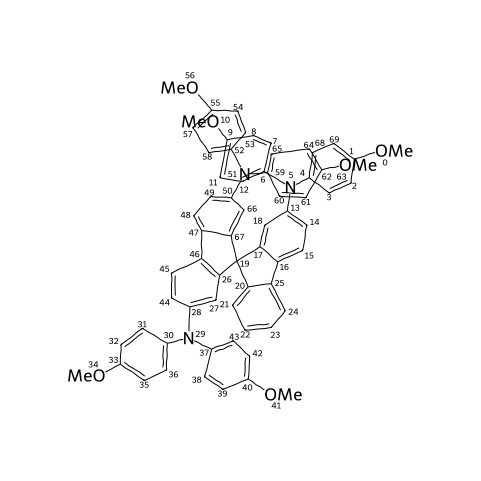 COc1ccc(N(c2ccc(OC)cc2)c2ccc3c(c2)C2(c4ccccc4-3)c3cc(N(c4ccc(OC)cc4)c4ccc(OC)cc4)ccc3-c3ccc(N(c4ccc(OC)cc4)c4ccc(OC)cc4)cc32)cc1